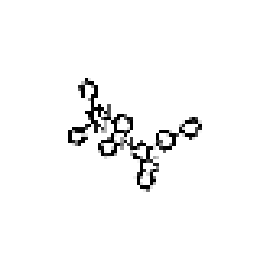 C1=CC2C(C(c3nc(-c4ccccc4)nc(-c4ccccc4)n3)=C1)c1ccccc1N2c1cc(-c2ccc(-c3ccccc3)cc2)c2sc3ccccc3c2c1